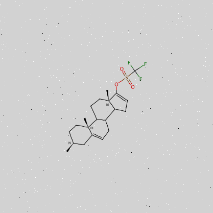 C[C@H]1CC[C@@]2(C)C(=CCC3C2CC[C@]2(C)C(OS(=O)(=O)C(F)(F)F)=CCC32)C1